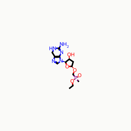 CCOP(C)(=O)CO[C@@H]1C[C@H](O)[C@H](n2cnc3c2N=C(N)NC3)O1